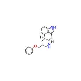 c1ccc(OCC2CN[C@@H]3Cc4c[nH]c5cccc(c45)[C@H]3C2)cc1